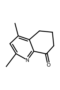 Cc1cc(C)c2c(n1)C(=O)CCC2